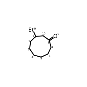 CC[C]1CCCCCCC(=O)C1